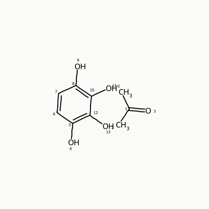 CC(C)=O.Oc1ccc(O)c(O)c1O